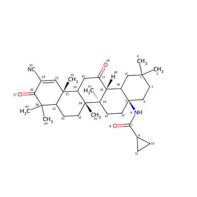 CC1(C)CC[C@]2(NC(=O)C3CC3)CC[C@]3(C)[C@H](C(=O)CC4[C@@]5(C)C=C(C#N)C(=O)C(C)(C)C5CC[C@]43C)C2C1